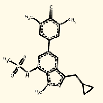 Cc1cc(-c2cc(NS(C)(=O)=O)c3c(c2)c(CC2CC2)nn3C)cn(C)c1=O